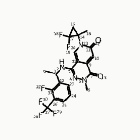 C[C@@H](Nc1nn(C)c(=O)c2cc(=O)n(C3(C)CC3(F)F)cc12)c1cccc(C(F)(F)F)c1F